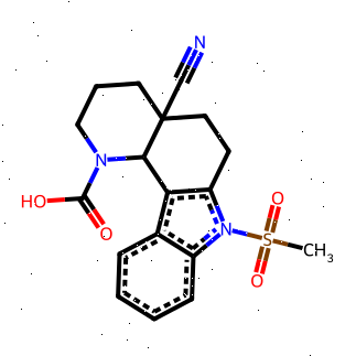 CS(=O)(=O)n1c2c(c3ccccc31)C1N(C(=O)O)CCCC1(C#N)CC2